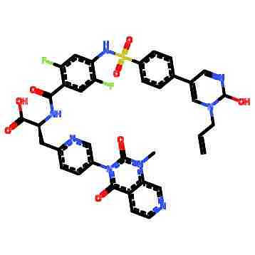 C=CCN1C=C(c2ccc(S(=O)(=O)Nc3cc(F)c(C(=O)N[C@@H](Cc4ccc(-n5c(=O)c6ccncc6n(C)c5=O)cn4)C(=O)O)cc3F)cc2)C=NC1O